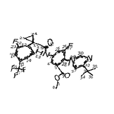 CCOC(=O)c1cc(NC(=O)C2(c3ccc(C(F)(F)F)cc3F)CC2)cc(F)c1-n1cnc(C(C)(C)C)c1